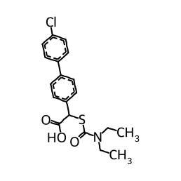 CCN(CC)C(=O)SC(C(=O)O)c1ccc(-c2ccc(Cl)cc2)cc1